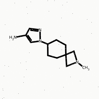 CN1CC2(CCC(n3cc(N)cn3)CC2)C1